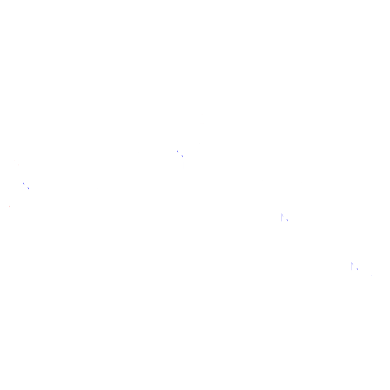 CC(C)c1cc(N)cc2nc(-c3ccc(C(=O)NCC4CCc5ccc([N+](=O)[O-])cc5CC4)cc3)oc12